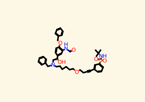 CC(C)(C)NS(=O)(=O)c1cccc(C#CCCOCCCCCCN(Cc2ccccc2)C[C@@H](O)c2ccc(OCc3ccccc3)c(NC=O)c2)c1